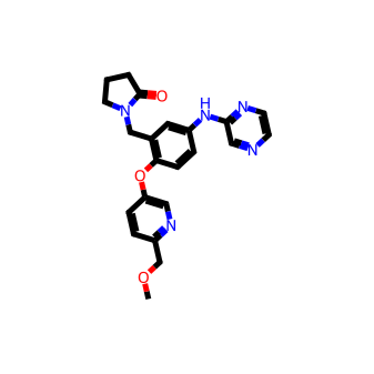 COCc1ccc(Oc2ccc(Nc3cnccn3)cc2CN2CCCC2=O)cn1